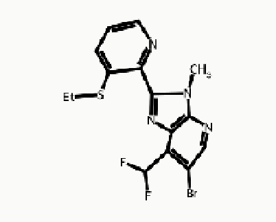 CCSc1cccnc1-c1nc2c(C(F)F)c(Br)cnc2n1C